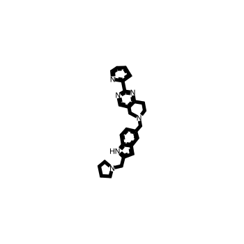 c1ccc(-c2ncc3c(n2)CCN(Cc2ccc4[nH]c(CN5CCCC5)cc4c2)C3)nc1